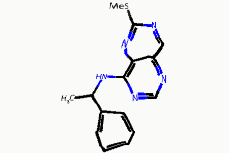 CSc1ncc2ncnc(NC(C)c3ccccc3)c2n1